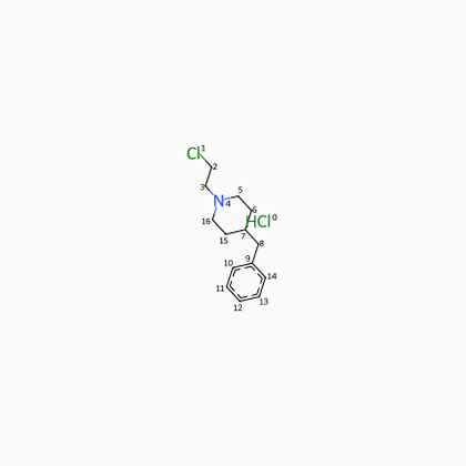 Cl.ClCCN1CCC(Cc2ccccc2)CC1